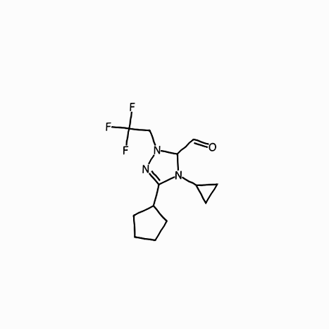 O=CC1N(CC(F)(F)F)N=C(C2CCCC2)N1C1CC1